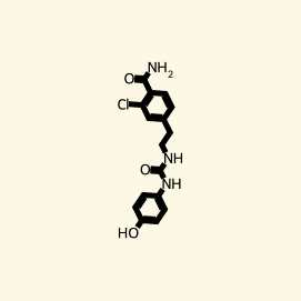 NC(=O)c1ccc(CCNC(=O)Nc2ccc(O)cc2)cc1Cl